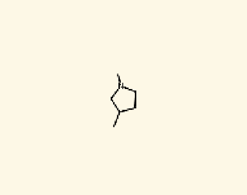 CC1CCN(I)C1